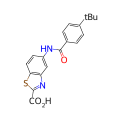 CC(C)(C)c1ccc(C(=O)Nc2ccc3sc(C(=O)O)nc3c2)cc1